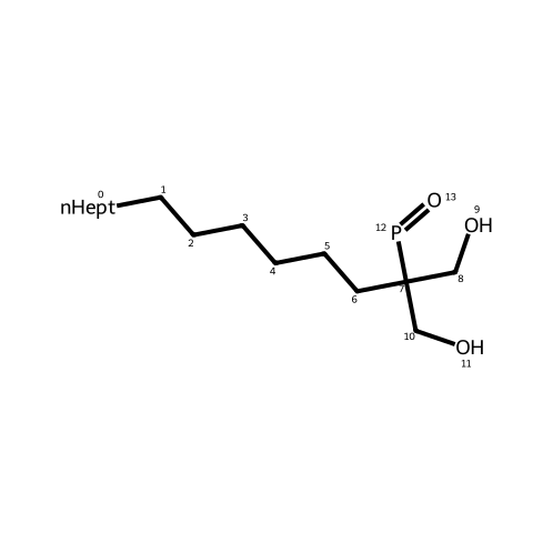 CCCCCCCCCCCCCC(CO)(CO)P=O